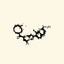 CCc1cc(C(=O)C2CCCCC[C@@H](C)CC2)nc2cc(-c3ccc4ccc(C(=O)O)nc4c3F)nn12